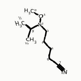 CON(CCCCC#N)C(C)C